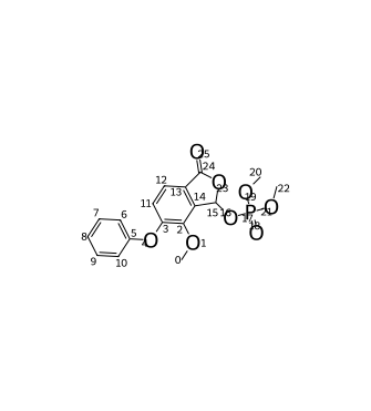 COc1c(Oc2ccccc2)ccc2c1C(OP(=O)(OC)OC)OC2=O